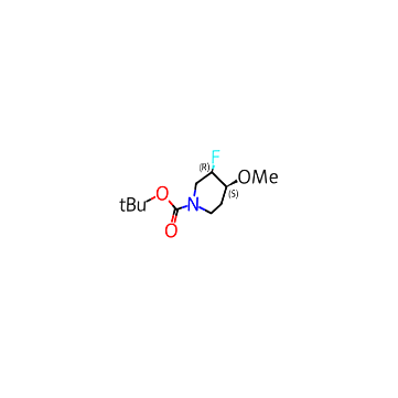 CO[C@H]1CCN(C(=O)OC(C)(C)C)C[C@H]1F